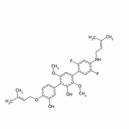 COc1cc(-c2cc(F)c(NCC=C(C)C)cc2F)c(OC)c(O)c1-c1ccc(OCC=C(C)C)c(O)c1